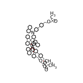 CCC1(COCCc2ccc(-c3ccc(N(c4ccc5c(c4)C4(c6cc(N(c7ccc(-c8ccc(CCOCC9(CC)COC9)cc8)cc7)c7cccc8ccccc78)ccc6-5)c5ccccc5-c5cccc(N(c6ccc(-c7cccc(CCOCC8(CC)COC8)c7)cc6)c6cccc7ccccc67)c54)c4cccc5ccccc45)cc3)cc2)COC1